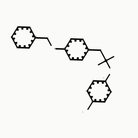 CCOC(=O)C(Cc1ccc(OCc2ccccc2)cc1)(Oc1ccc(C(C)C)cc1)C(=O)OCC